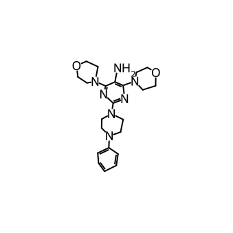 Nc1c(N2CCOCC2)nc(N2CCN(c3ccccc3)CC2)nc1N1CCOCC1